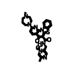 Cc1c[n+]([O-])c(CNC(=O)c2c(=O)c3ccc(N4CCCN(C)CC4)nc3n3c2sc2ccccc23)cn1